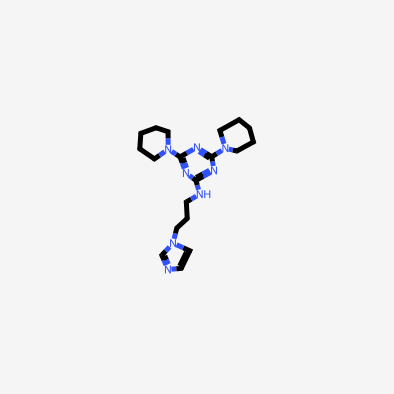 c1cn(CCCNc2nc(N3CCCCC3)nc(N3CCCCC3)n2)cn1